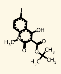 Cn1c(=O)c(C(=O)OC(C)(C)C)c(O)c2cc(I)ccc21